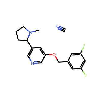 C#N.CN1CCCC1c1cncc(OCc2cc(F)cc(F)c2)c1